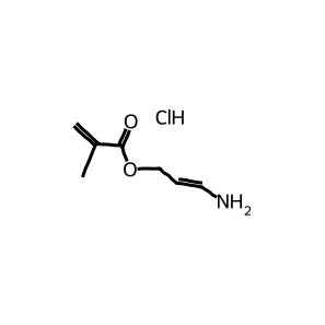 C=C(C)C(=O)OCC=CN.Cl